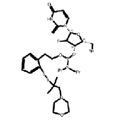 [2H]C[C@H]1O[C@@H](N2C=CC(=O)NC2=C)C(F)[C@H]1OP(OCCc1ccccc1SSC(C)(C)CN1CCOCC1)N(C(C)C)C(C)C